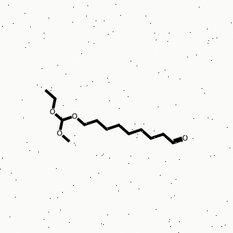 CCOC(OC)OCCCCCCCCC=O